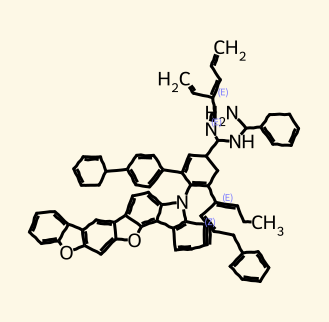 C=C/C=C(C=C)/C=N/C(NC(N)C1=CC=CCC1)C1C=C(c2ccc(C3C=CC=CC3)cc2)C(n2c3c#cccc3c3c4oc5cc6oc7ccccc7c6cc5c4ccc32)=C(C(/C=C\Cc2ccccc2)=C/CC)C1